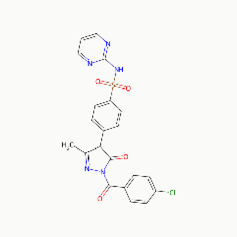 CC1=NN(C(=O)c2ccc(Cl)cc2)C(=O)C1c1ccc(S(=O)(=O)Nc2ncccn2)cc1